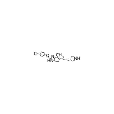 Cc1c(CCCCC2CCNCC2)ccc2[nH]c(COc3ccc(Cl)cc3)nc12